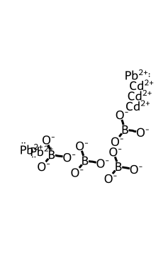 [Cd+2].[Cd+2].[Cd+2].[O-]B([O-])[O-].[O-]B([O-])[O-].[O-]B([O-])[O-].[O-]B([O-])[O-].[Pb+2].[Pb+2].[Pb+2]